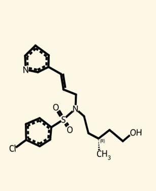 C[C@@H](CCO)CCN(CC=Cc1cccnc1)S(=O)(=O)c1ccc(Cl)cc1